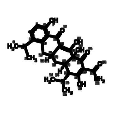 CN(C)c1ccc(O)c2c1C[C@H]1C[C@H]3C(N(C)C)C(O)=C(C(N)=O)C(=O)[C@@]3(O)C(O)=C1C2=O